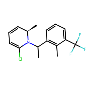 Cc1c(C(C)N2C(Cl)=CC=C[C@H]2C)cccc1C(F)(F)F